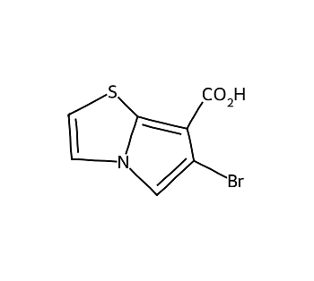 O=C(O)c1c(Br)cn2ccsc12